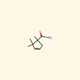 CC1(C)C=CCC1(C)C(N)=O